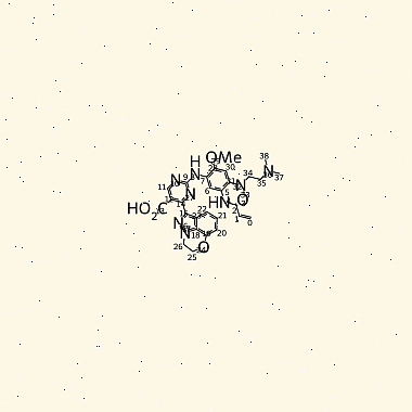 C=CC(=O)Nc1cc(Nc2ncc(C(=O)O)c(-c3nn4c5c(cccc35)OCC4)n2)c(OC)cc1N(C)CCN(C)C